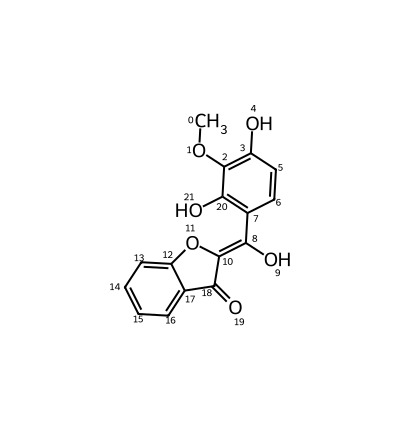 COc1c(O)ccc(/C(O)=C2\Oc3ccccc3C2=O)c1O